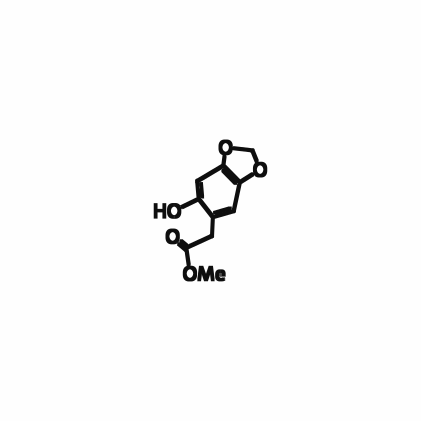 COC(=O)Cc1cc2c(cc1O)OCO2